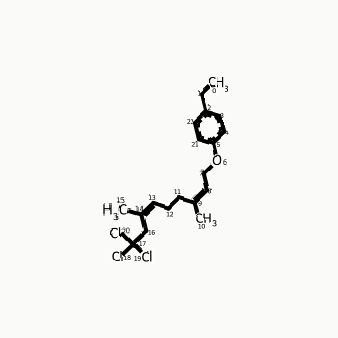 CCc1ccc(OCC=C(C)CCC=C(C)CC(Cl)(Cl)Cl)cc1